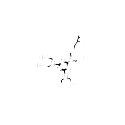 OCN(CO)c1nc(N(CO)CO)nc(N(CO)COCC2CO2)n1